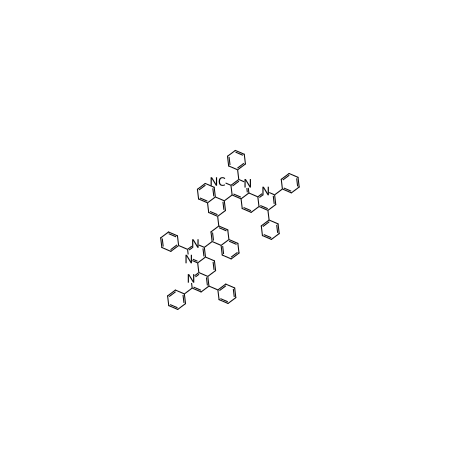 N#Cc1c(-c2ccccc2)nc2c(ccc3c(-c4ccccc4)cc(-c4ccccc4)nc32)c1-c1cc(-c2cc(-c3nc(-c4ccccc4)nc4c3ccc3c(-c5ccccc5)cc(-c5ccccc5)nc34)c3ccccc3c2)cc2ccccc12